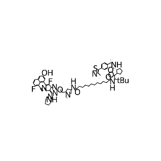 C#Cc1c(F)ccc2cc(O)cc(-c3ncc4c(N5CC6CCC(C5)N6)nc(OCC5C[C@@H](NC(=O)CCCCCCCCCCC(=O)NC(C(=O)C6CCC[C@H]6C(=O)N[C@@H](C)c6ccc(-c7scnc7C)cc6)C(C)(C)C)CN5C)nc4c3F)c12